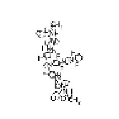 COC(=O)N[C@H](C(=O)N1CCC[C@H]1c1nc2cc([C@H]3CC[C@H](c4cc5nc([C@@H]6CCCN6C(=O)[C@@H](NC(=O)OC)C6CCOCC6)[nH]c5cc4F)N3c3cc(F)c(N4CCN(c5c(F)cccc5F)CC4)c(F)c3)c(F)cc2[nH]1)C1CCOCC1